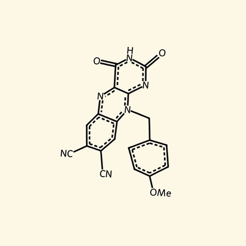 COc1ccc(Cn2c3nc(=O)[nH]c(=O)c-3nc3cc(C#N)c(C#N)cc32)cc1